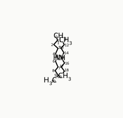 CCCCCNCCCCC.CCCCNCCCC